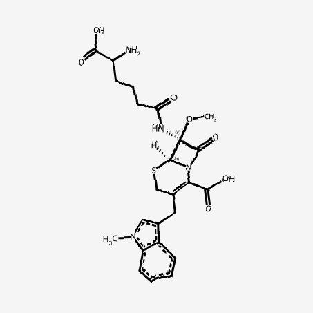 CO[C@@]1(NC(=O)CCCC(N)C(=O)O)C(=O)N2C(C(=O)O)=C(Cc3cn(C)c4ccccc34)CS[C@H]21